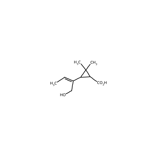 CC=C(CO)C1C(C(=O)O)C1(C)C